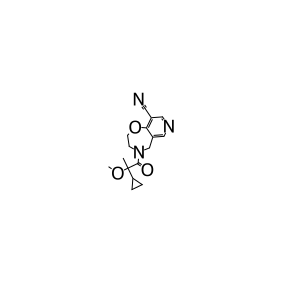 COC(C)(C(=O)N1CCOc2c(C#N)cncc2C1)C1CC1